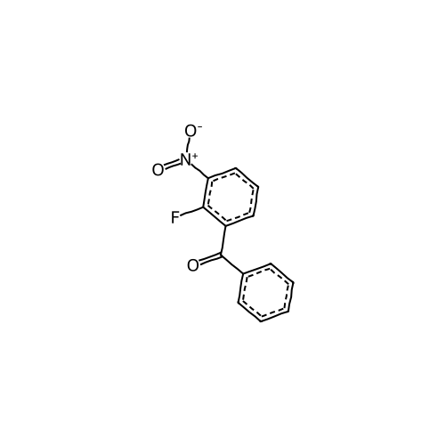 O=C(c1ccccc1)c1cccc([N+](=O)[O-])c1F